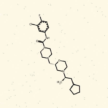 C[C@H](CC1CCCC1)N1CCO[C@@H](CN2CCN(C(=O)Nc3ccc(F)c(Cl)c3)CC2)C1